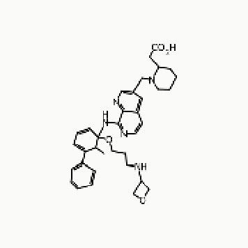 CC1C(c2ccccc2)=CC=CC1(Nc1nccc2cc(CN3CCCCC3CC(=O)O)cnc12)OCCCNC1COC1